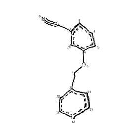 N#Cc1cccc(OCc2ccncc2)c1